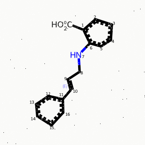 O=C(O)c1ccccc1NC/C=C/c1ccccc1